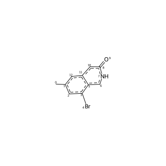 Cc1cc(Br)c2c[nH]c(=O)cc2c1